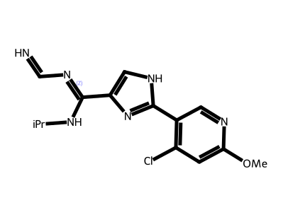 COc1cc(Cl)c(-c2nc(/C(=N/C=N)NC(C)C)c[nH]2)cn1